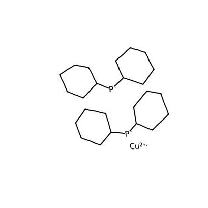 C1CCC([P-]C2CCCCC2)CC1.C1CCC([P-]C2CCCCC2)CC1.[Cu+2]